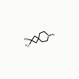 CC(=O)N1CCC2(CC1)CC(C)(O)C2